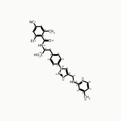 CCc1cc(C#N)cc(C)c1C(=O)NC(Cc1ccc(-n2cc(CNc3cc(C)ccn3)nn2)cc1)C(=O)O